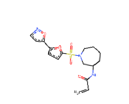 C=CC(=O)NC1CCCCN(S(=O)(=O)c2ccc(-c3ccno3)o2)C1